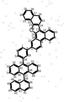 c1cc(-c2ccc3c4ccccc4c4c5ccc6ccccc6c5oc4c3c2)cc(-c2c3ccccc3c(-c3cccc4ccccc34)c3ccccc23)c1